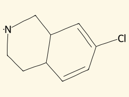 ClC1=CC2C[N]CCC2C=C1